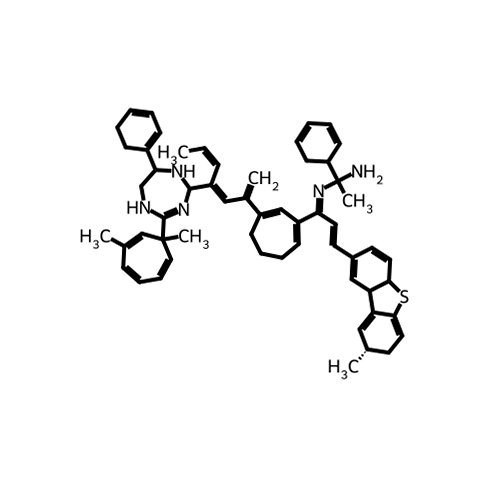 C=C(/C=C(\C=C/C)C1N=C(C2(C)C=CC=CC(C)=C2)NCC(C2=CC=CCC2)N1)C1=CC(C(/C=C/C2=CC3C4=C[C@@H](C)CC=C4SC3C=C2)=N/C(C)(N)C2C=CC=CC2)=CCCC1